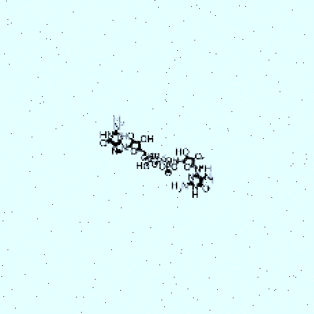 COC1C(O)[C@@H](COP(=O)(O)OP(O)(=S)OP(=O)(O)OC[C@H]2O[C@@H](n3cnc4c(=O)[nH]c(N)nc43)C(O)C2O)O[C@H]1N(C)c1nc(N)[nH]c(=O)c1NI